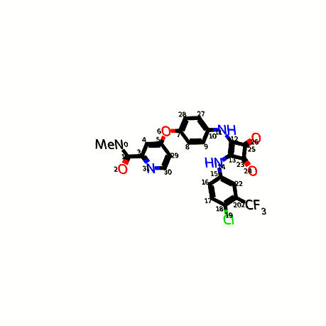 CNC(=O)c1cc(Oc2ccc(Nc3c(Nc4ccc(Cl)c(C(F)(F)F)c4)c(=O)c3=O)cc2)ccn1